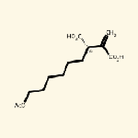 C=C(C(=O)O)[C@H](CCCCCCOC(C)=O)C(=O)O